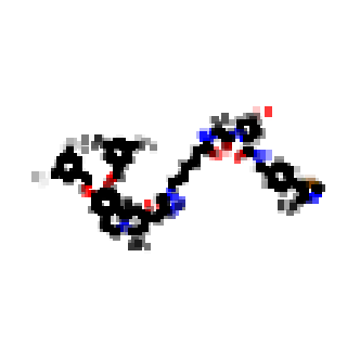 Cc1cc(C)cc(COc2cc3c(cc2OCc2cc(C)cc(C)c2)[C@H]2C[C@](O)(Cc4cn(CCCCCC(=O)N[C@H](C(=O)N5C[C@H](O)C[C@H]5C(=O)NCc5ccc(-c6scnc6C)cc5)C(C)(C)C)nn4)C[C@H](C)N2CC3)c1